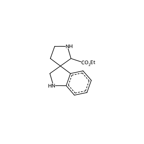 CCOC(=O)C1NCCC12CNc1ccccc12